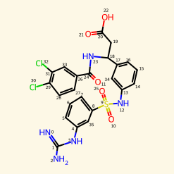 N=C(N)Nc1cccc(S(=O)(=O)Nc2cccc(C(CC(=O)O)NC(=O)c3ccc(Cl)c(Cl)c3)c2)c1